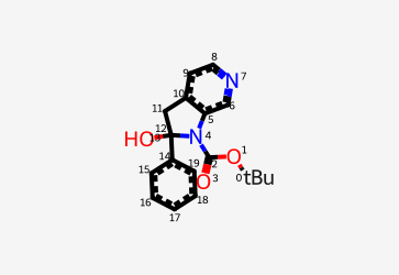 CC(C)(C)OC(=O)N1c2cnccc2CC1(O)c1ccccc1